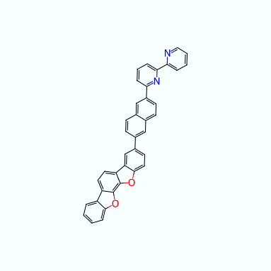 c1ccc(-c2cccc(-c3ccc4cc(-c5ccc6oc7c(ccc8c9ccccc9oc87)c6c5)ccc4c3)n2)nc1